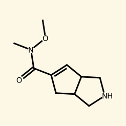 CON(C)C(=O)C1=CC2CNCC2C1